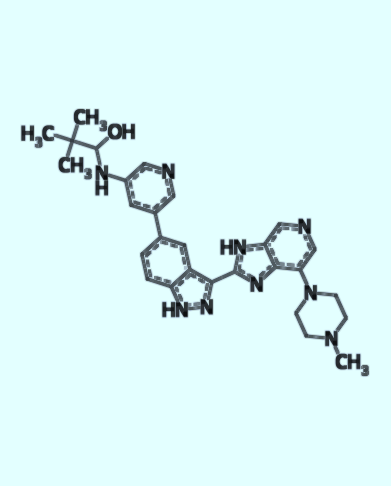 CN1CCN(c2cncc3[nH]c(-c4n[nH]c5ccc(-c6cncc(NC(O)C(C)(C)C)c6)cc45)nc23)CC1